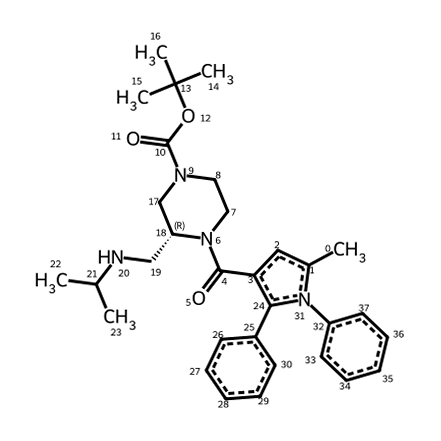 Cc1cc(C(=O)N2CCN(C(=O)OC(C)(C)C)C[C@H]2CNC(C)C)c(-c2ccccc2)n1-c1ccccc1